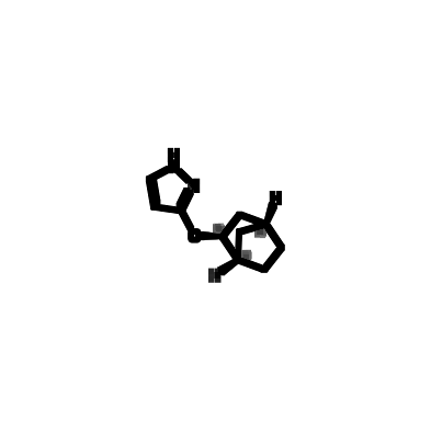 c1cc(O[C@H]2C[C@@H]3CC[C@H]2C3)n[nH]1